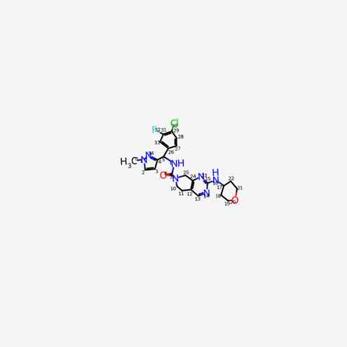 Cn1ccc(C(NC(=O)N2CCc3cnc(NC4CCOCC4)nc3C2)c2ccc(Cl)c(F)c2)n1